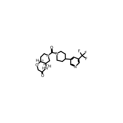 O=C1CO[C@H]2CCN(C(=O)N3CCC(c4cncc(C(F)(F)F)c4)CC3)C[C@H]2N1